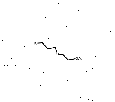 CC(=O)OCCOCCCO